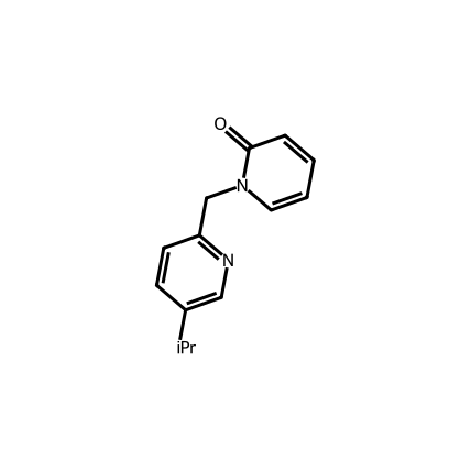 CC(C)c1ccc(Cn2ccccc2=O)nc1